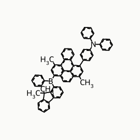 Cc1cc(-c2ccc(N(c3ccccc3)c3ccccc3)cc2)c2c3ccccc3c3c(C)cc(B(c4ccccc4)c4cccc5c4C(C)(C)c4ccccc4-5)c4ccc1c2c43